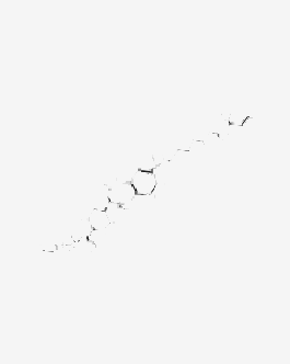 C=CC(=O)OCCCCCCOc1ccc(OC(=O)C2CCC(C(=O)OCOCC)CC2)cc1